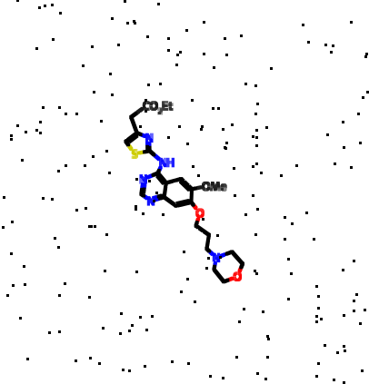 CCOC(=O)Cc1csc(Nc2ncnc3cc(OCCCN4CCOCC4)c(OC)cc23)n1